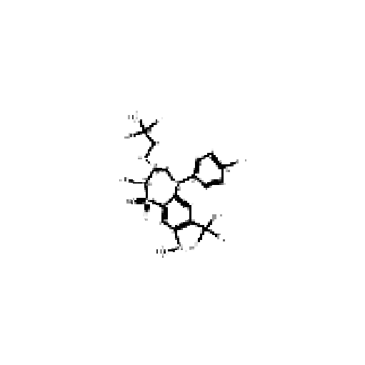 COc1cc2c(cc1C(F)(F)F)N(c1ccc(F)cc1)C[C@@H](CCC(C)(F)F)[C@H](F)S2(=O)=O